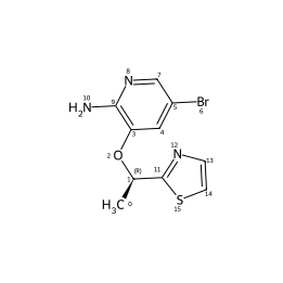 C[C@@H](Oc1cc(Br)cnc1N)c1nccs1